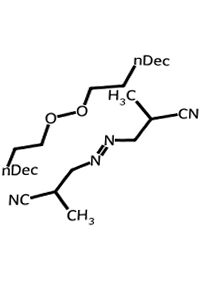 CC(C#N)CN=NCC(C)C#N.CCCCCCCCCCCCOOCCCCCCCCCCCC